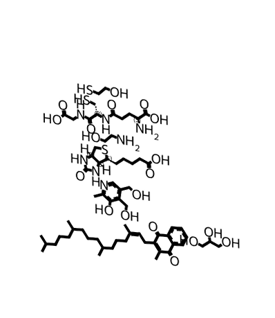 CC(=CCC1=C(C)C(=O)c2ccccc2C1=O)CCCC(C)CCCC(C)CCCC(C)C.Cc1ncc(CO)c(CO)c1O.NCCO.N[C@@H](CCC(=O)N[C@@H](CS)C(=O)NCC(=O)O)C(=O)O.O=C(O)CCCC[C@@H]1SC[C@@H]2NC(=O)N[C@@H]21.OCC(O)CO.OCCS